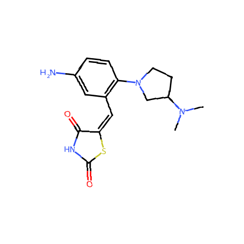 CN(C)C1CCN(c2ccc(N)cc2C=C2SC(=O)NC2=O)C1